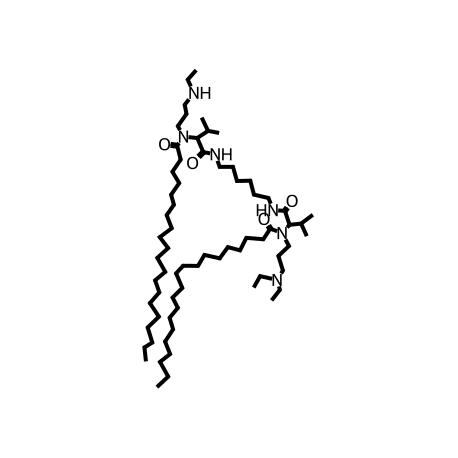 CCCCCCCCCCCCCCCCCCCC(=O)N(CCCNCC)C(C(=O)NCCCCCCNC(=O)C(C(C)C)N(CCCN(CC)CC)C(=O)CCCCCCCCCCCCCCCCCCC)C(C)C